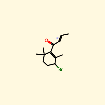 C/C=C/C(=O)C1=C(C)C(Br)CCC1(C)C